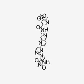 Cc1ncc(C(=O)NCc2cc3nc(-c4ccnc(N5CC[C@@]6(C5)NC(=O)N(C)C6=O)n4)ccc3cn2)cc1S(C)(=O)=O